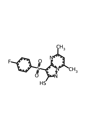 Cc1cc(C)n2nc(S)c(S(=O)(=O)c3ccc(F)cc3)c2n1